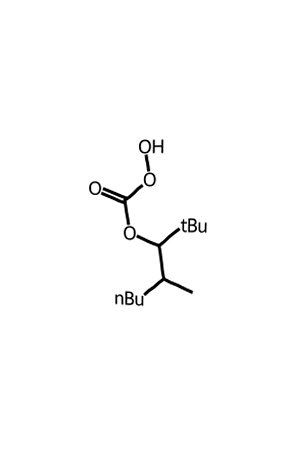 CCCCC(C)C(OC(=O)OO)C(C)(C)C